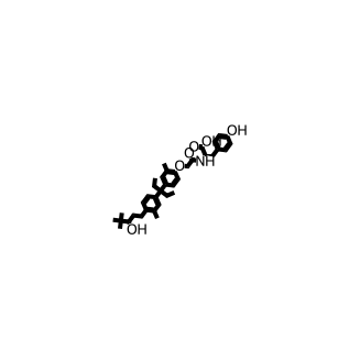 CCC(CC)(c1ccc(CCC(O)C(C)(C)C)c(C)c1)c1ccc(OCC(=O)N[C@H](Cc2ccc(O)cc2)C(=O)O)c(C)c1